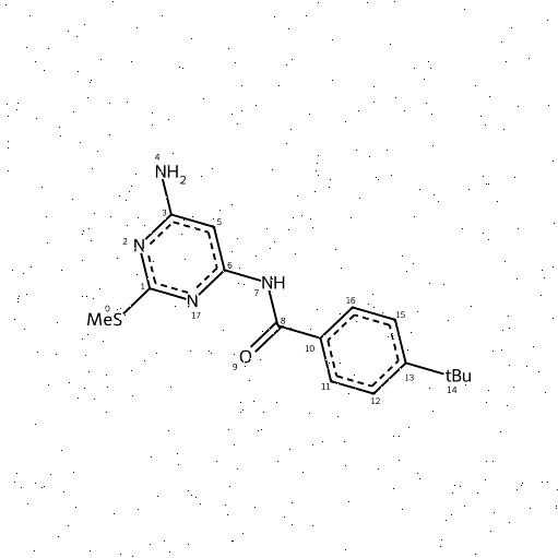 CSc1nc(N)cc(NC(=O)c2ccc(C(C)(C)C)cc2)n1